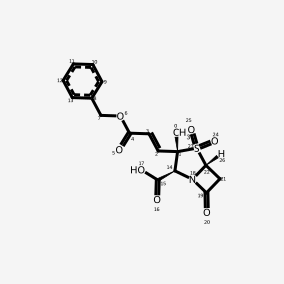 C[C@]1(/C=C/C(=O)OCc2ccccc2)[C@H](C(=O)O)N2C(=O)C[C@H]2S1(=O)=O